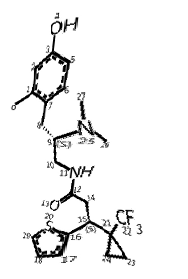 Cc1cc(O)ccc1C[C@@H](CNC(=O)C[C@H](c1cccs1)C1(C(F)(F)F)CC1)N(C)C